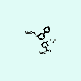 COCOc1cc(-c2ccccc2)cc([C@H]2CCN(C(=O)OC)CC2C(=O)O)c1